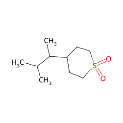 CC(C)C(C)C1CCS(=O)(=O)CC1